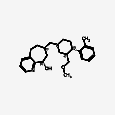 COC[C@H]1CN(C[C@@H]2CCc3cccnc3[C@@H](O)C2)CC[C@@H]1c1ccccc1C